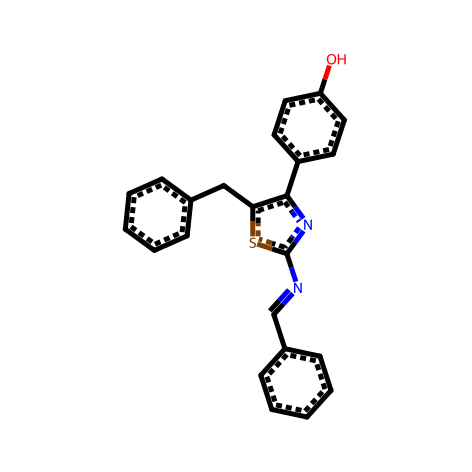 Oc1ccc(-c2nc(N=Cc3ccccc3)sc2Cc2ccccc2)cc1